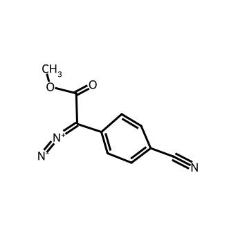 COC(=O)C(=[N+]=[N-])c1ccc(C#N)cc1